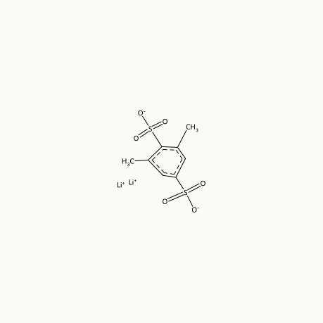 Cc1cc(S(=O)(=O)[O-])cc(C)c1S(=O)(=O)[O-].[Li+].[Li+]